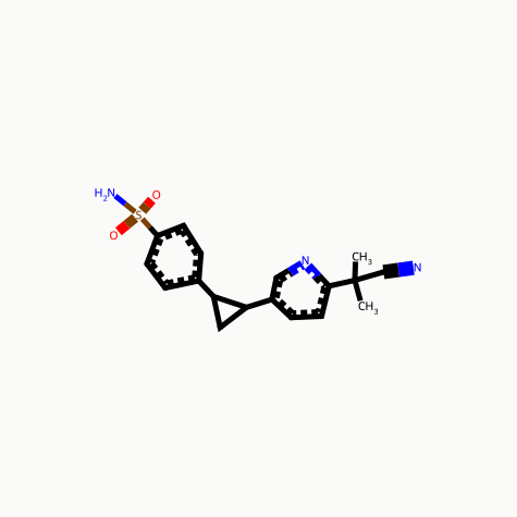 CC(C)(C#N)c1ccc(C2CC2c2ccc(S(N)(=O)=O)cc2)cn1